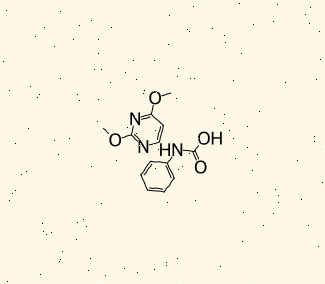 COc1ccnc(OC)n1.O=C(O)Nc1ccccc1